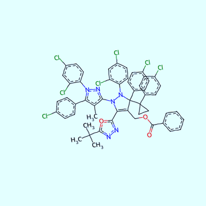 Cc1c(N2C(c3nnc(C(C)(C)C)o3)=C(COC(=O)c3ccccc3)C(c3ccc(Cl)cc3)(C3(c4ccc(Cl)cc4)CC3)N2c2ccc(Cl)cc2Cl)nn(-c2ccc(Cl)cc2Cl)c1-c1ccc(Cl)cc1